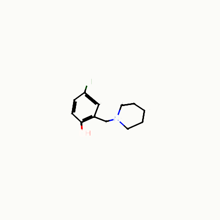 Oc1ccc(Cl)cc1CN1CCCCC1